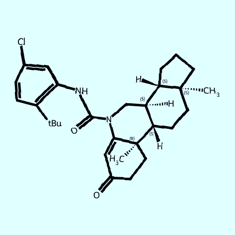 CC(C)(C)c1ccc(Cl)cc1NC(=O)N1C[C@H]2[C@@H]3CCC[C@@]3(C)CC[C@@H]2[C@@]2(C)CCC(=O)C=C12